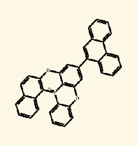 O=P12c3ccccc3Oc3cc(-c4cc5ccccc5c5ccccc45)cc(c31)Oc1ccc3ccccc3c12